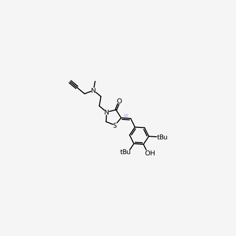 C#CCN(C)CCN1CS/C(=C\c2cc(C(C)(C)C)c(O)c(C(C)(C)C)c2)C1=O